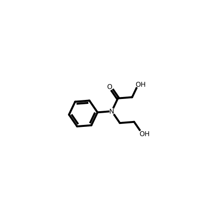 O=C(CO)N(CCO)c1ccccc1